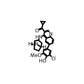 COc1cc(-c2ccc3ncc(C(=O)C4CC4)c(NC4C[C@H]5CC[C@@H](C4)N5)c3c2)cc(Cl)c1O